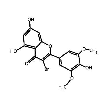 COc1cc(-c2oc3cc(O)cc(O)c3c(=O)c2Br)cc(OC)c1O